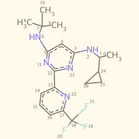 CC(Nc1cc(NC(C)(C)C)nc(-c2cccc(C(F)(F)F)n2)n1)C1CC1